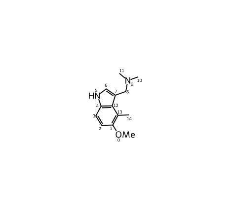 COc1ccc2[nH]cc(CN(C)C)c2c1C